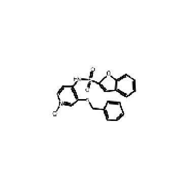 O=S(=O)(Nc1cc[n+]([O-])cc1SCc1ccccc1)c1cc2ccccc2o1